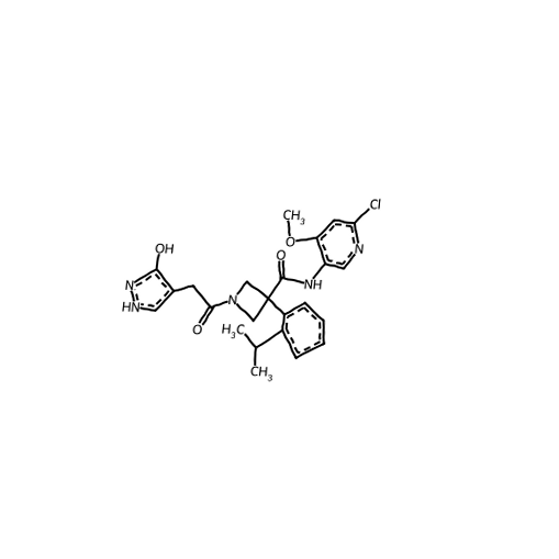 COc1cc(Cl)ncc1NC(=O)C1(c2ccccc2C(C)C)CN(C(=O)Cc2c[nH]nc2O)C1